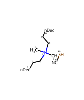 CCCCCCCCCCCC[N+](C)(C)CCCCCCCCCCCC.N#CS